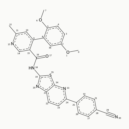 COc1ccc(OC)c(-c2cc(C)ncc2C(=O)Nc2nc3ccc(-c4ccc(C#N)cc4)nc3s2)c1